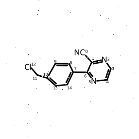 N#Cc1nccnc1-c1ccc(CCl)cc1